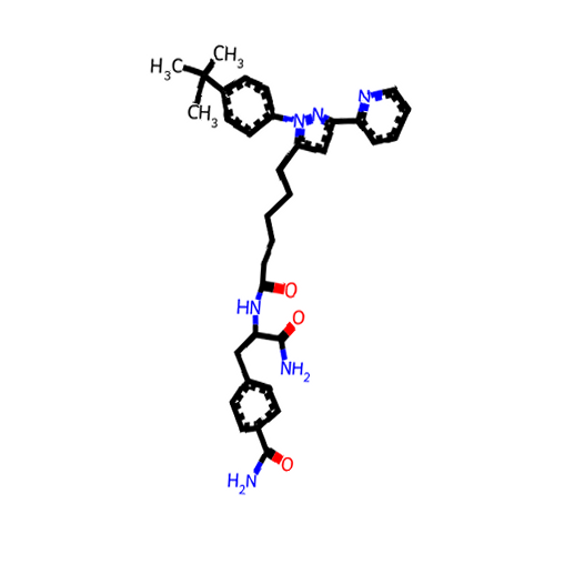 CC(C)(C)c1ccc(-n2nc(-c3ccccn3)cc2CCCCCC(=O)NC(Cc2ccc(C(N)=O)cc2)C(N)=O)cc1